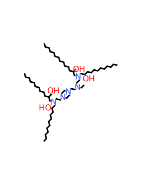 CCCCCCCCCCCCC(O)CN(CCN(CC)CCN1CCN(CCN(CC(O)CCCCCCCCCC)CC(CO)CCCCCCCCCC)CC1)CC(O)CCCCCCCCCC